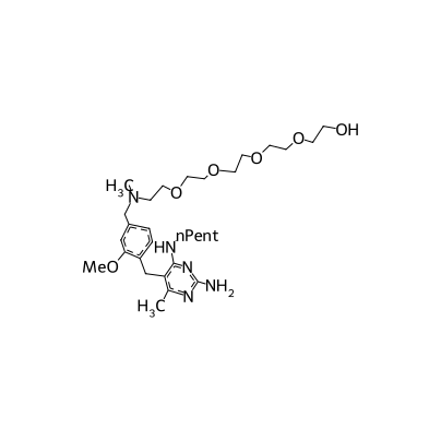 CCCCCNc1nc(N)nc(C)c1Cc1ccc(CN(C)CCOCCOCCOCCOCCO)cc1OC